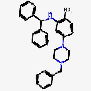 O=[N+]([O-])c1ccc(N2CCN(Cc3ccccc3)CC2)cc1NC(c1ccccc1)c1ccccc1